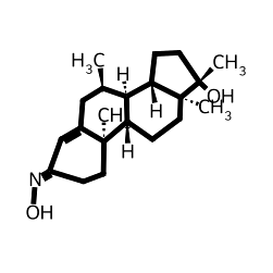 C[C@@H]1CC2=C/C(=N/O)CC[C@]2(C)[C@H]2CC[C@@]3(C)[C@@H](CC[C@]3(C)O)[C@H]12